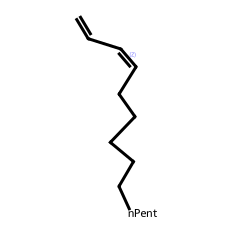 C=C/C=C\CCCCCCCCCC